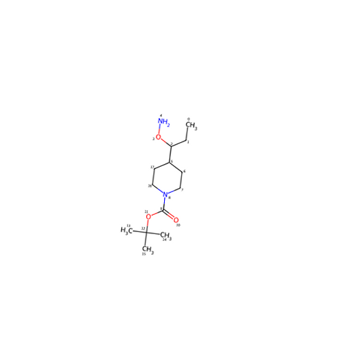 CCC(ON)C1CCN(C(=O)OC(C)(C)C)CC1